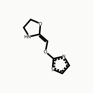 C(Oc1nccs1)=C1NCCO1